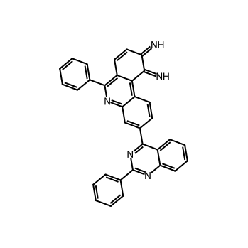 N=C1C=Cc2c(-c3ccccc3)nc3cc(-c4nc(-c5ccccc5)nc5ccccc45)ccc3c2C1=N